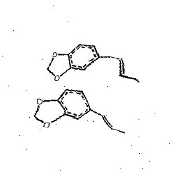 CC=Cc1ccc2c(c1)OCO2.CC=Cc1ccc2c(c1)OCO2